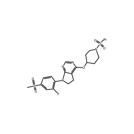 CC(C)S(=O)(=O)N1CCC(Oc2ncnc3c2CCN3c2ccc(S(C)(=O)=O)cc2F)CC1